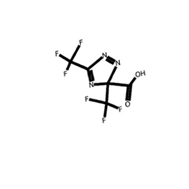 O=C(O)C1(C(F)(F)F)N=NC(C(F)(F)F)=N1